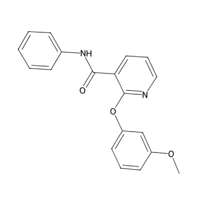 COc1cccc(Oc2ncccc2C(=O)Nc2ccccc2)c1